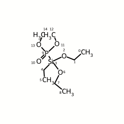 CCO[Si](CC)(OCC)P(=O)(OC)OC